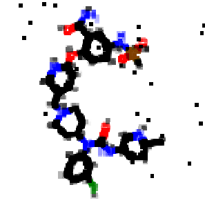 Cc1ccc(NC(=O)N(c2cccc(F)c2)C2CCN(Cc3ccc(Oc4ccc(NS(C)(=O)=O)cc4C(N)=O)nc3)CC2)cn1